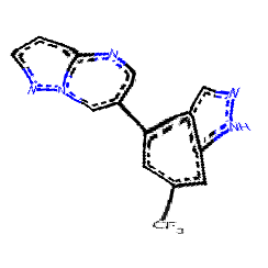 FC(F)(F)c1cc(-c2cnc3ccnn3c2)c2cn[nH]c2c1